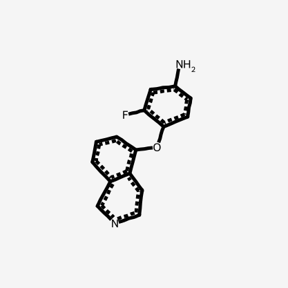 Nc1ccc(Oc2cccc3cnccc23)c(F)c1